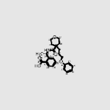 C[C@H](NC(=O)C1(CCCOc2ccccc2)CCOCC1)c1ccccc1C(=O)O